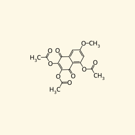 COc1cc(OC(C)=O)c2c(c1)C(=O)C(OC(C)=O)=C(OC(C)=O)C2=O